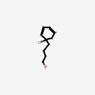 ClC1(CCCCBr)C=CC=CC1